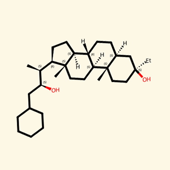 CC[C@]1(O)CC[C@@]2(C)[C@@H](CC[C@@H]3[C@@H]2CC[C@]2(C)[C@@H]([C@H](C)[C@@H](O)CC4CCCCC4)CC[C@@H]32)C1